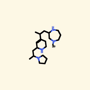 CC(CC1CN(C(C)C)CCCN1)C1=CC(CC(C)N2CCCC2)NCC1